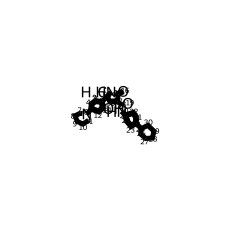 CC1(c2ccc(N3CCCCC3)cc2)NC(=O)C(C(=O)Nc2ccc(C3CCCCC3)cc2)=C1O